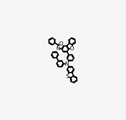 c1ccc(-c2cccc(N(c3cccc(-c4cc5nc(-c6ccccc6)oc5c5c4oc4ccccc45)c3)c3ccc4c(c3)sc3ccccc34)c2)cc1